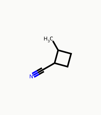 CC1CC[C]1C#N